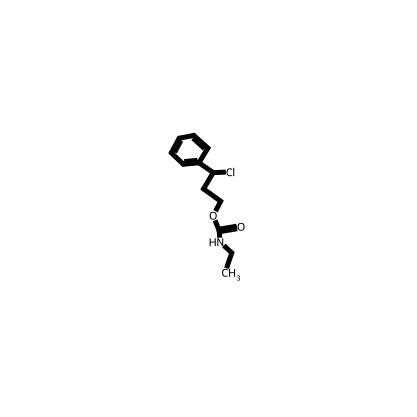 CCNC(=O)OCCC(Cl)c1ccccc1